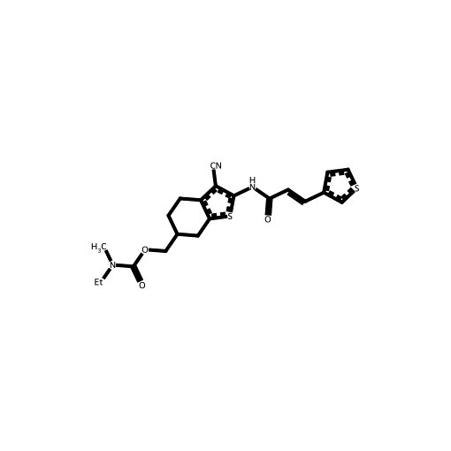 CCN(C)C(=O)OCC1CCc2c(sc(NC(=O)C=Cc3ccsc3)c2C#N)C1